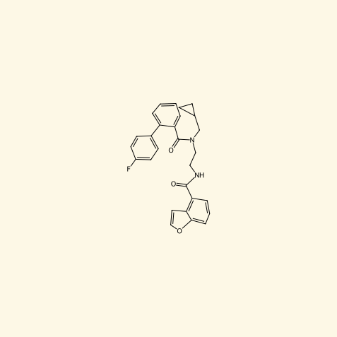 O=C(NCCN(CC1CC1)C(=O)c1ccccc1-c1ccc(F)cc1)c1cccc2occc12